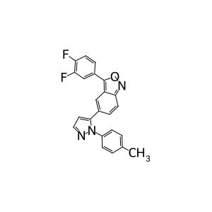 Cc1ccc(-n2nccc2-c2ccc3noc(-c4ccc(F)c(F)c4)c3c2)cc1